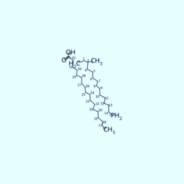 CCC(C)CCCCCCCCCCCP.CCCCCCCCCCCCCCCCCC(=O)O